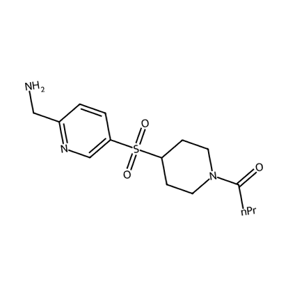 CCCC(=O)N1CCC(S(=O)(=O)c2ccc(CN)nc2)CC1